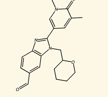 Cc1cc(-c2nc3ccc(C=O)cc3n2CC2CCCCO2)cn(C)c1=O